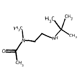 CC(=O)N(C)CCNC(C)(C)C